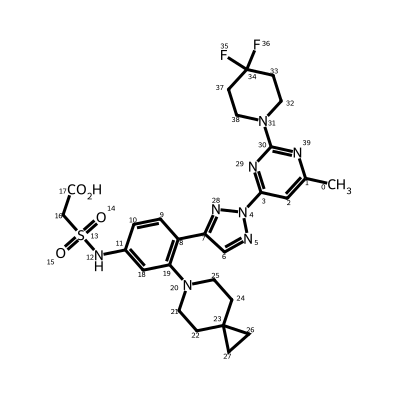 Cc1cc(-n2ncc(-c3ccc(NS(=O)(=O)CC(=O)O)cc3N3CCC4(CC3)CC4)n2)nc(N2CCC(F)(F)CC2)n1